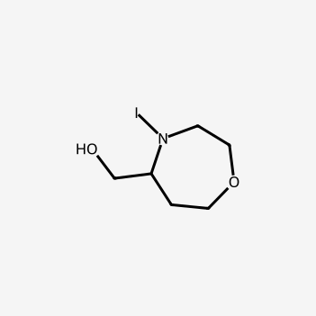 OCC1CCOCCN1I